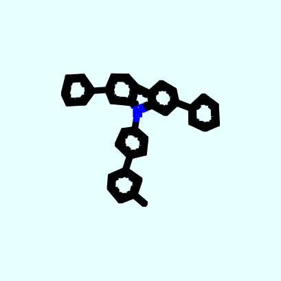 Cc1cccc(-c2ccc(-n3c4cc(-c5ccccc5)ccc4c4ccc(-c5ccccc5)cc43)cc2)c1